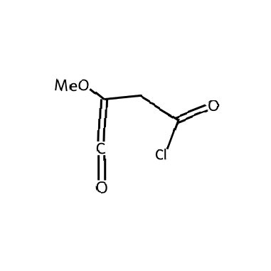 COC(=C=O)CC(=O)Cl